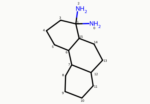 NC1(N)CCCC2C3CCCCC3CCC21